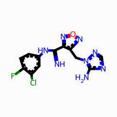 N=C(Nc1ccc(F)c(Cl)c1)c1nonc1Cn1ncnc1N